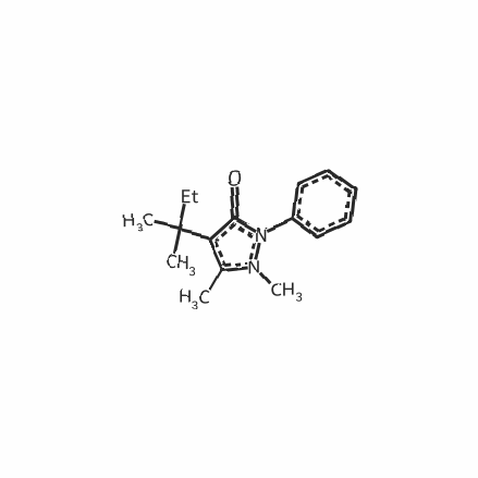 CCC(C)(C)c1c(C)n(C)n(-c2ccccc2)c1=O